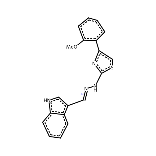 COc1ccccc1-c1csc(N/N=C/c2c[nH]c3ccccc23)n1